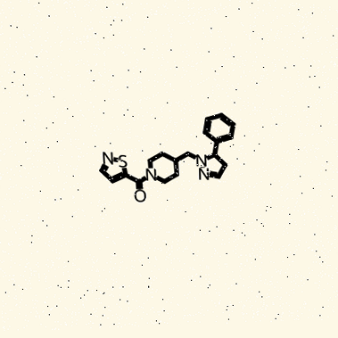 O=C(c1ccns1)N1CCC(CN2N=CCC2c2ccccc2)CC1